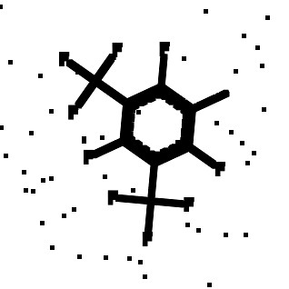 Cc1c(F)c(C(F)(F)F)c(F)c(C(F)(F)F)c1F